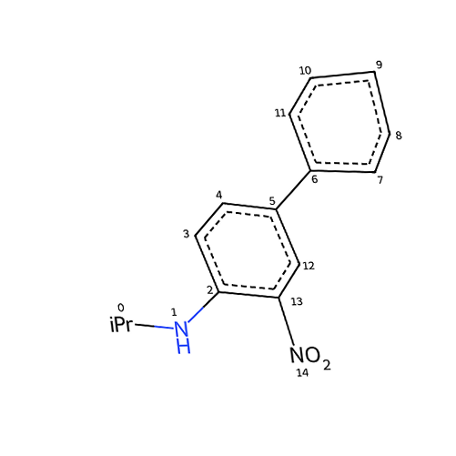 CC(C)Nc1ccc(-c2ccccc2)cc1[N+](=O)[O-]